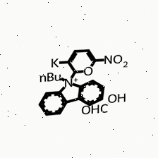 CCCC[N+]1(C2OC([N+](=O)[O-])=CC=[C]2[K])c2ccccc2-c2ccccc21.O=CO